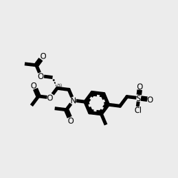 CC(=O)OC[C@H](CN(C(C)=O)c1ccc(CCS(=O)(=O)Cl)c(C)c1)OC(C)=O